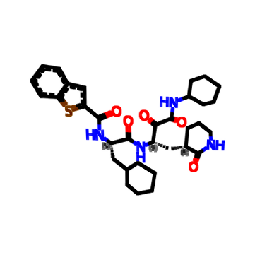 O=C(NC1CCCCC1)C(=O)[C@H](C[C@@H]1CCCNC1=O)NC(=O)[C@H](CC1CCCCC1)NC(=O)c1cc2ccccc2s1